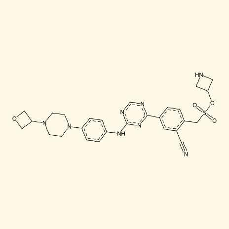 N#Cc1cc(-c2ncnc(Nc3ccc(N4CCN(C5COC5)CC4)cc3)n2)ccc1CS(=O)(=O)OC1CNC1